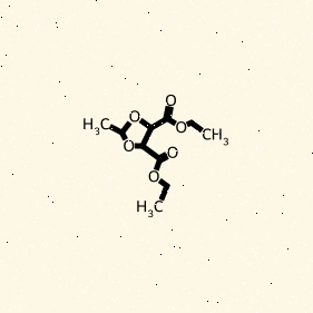 CCOC(=O)C1OC(C)OC1C(=O)OCC